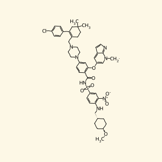 [CH2]n1cc(Oc2cc(N3CCN(CC4=C(c5ccc(Cl)cc5)CC(C)(C)CC4)CC3)ccc2C(=O)NS(=O)(=O)c2ccc(NC[C@H]3CC[C@H](OC)CC3)c([N+](=O)[O-])c2)cc2ccnc1-2